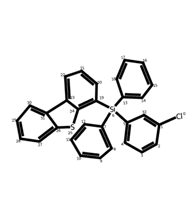 Clc1cccc([Si](c2ccccc2)(c2ccccc2)c2cccc3c2sc2ccccc23)c1